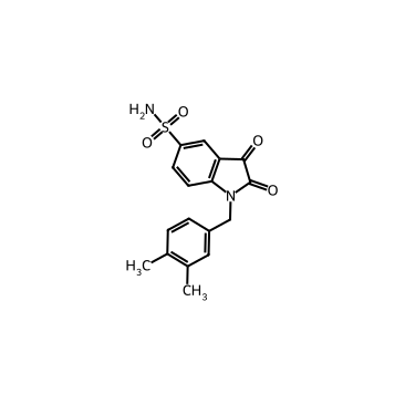 Cc1ccc(CN2C(=O)C(=O)c3cc(S(N)(=O)=O)ccc32)cc1C